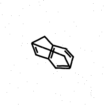 [c]1cc2cc3c1CC(=C3)C2